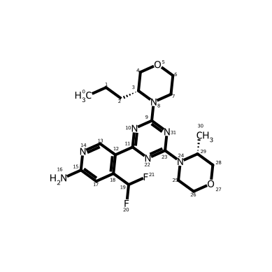 CCC[C@@H]1COCCN1c1nc(-c2cnc(N)cc2C(F)F)nc(N2CCOC[C@H]2C)n1